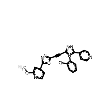 COc1cc(-c2nnc(C#Cc3nnc(-c4ccncc4)n3-c3ccccc3Cl)o2)ccn1